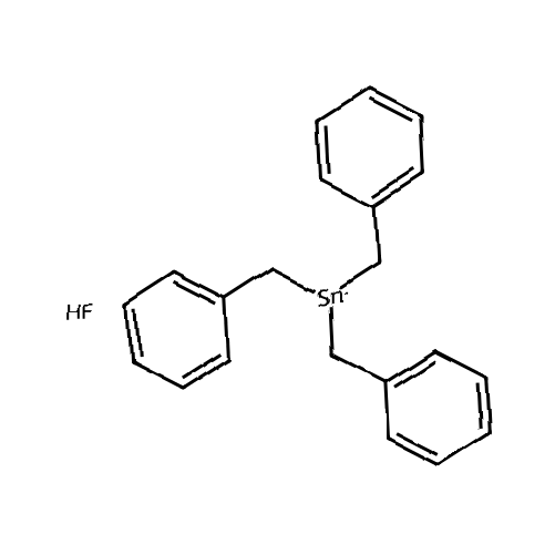 F.c1ccc([CH2][Sn]([CH2]c2ccccc2)[CH2]c2ccccc2)cc1